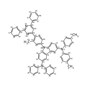 Cc1ccc(N(c2ccc(C)cc2)c2ccc3c(c2)c2cc(N(c4ccccc4)c4ccccc4)ccc2n3-c2ccc(-c3cc(-c4ccccc4)nc(-c4ccccc4)n3)c(C)c2)cc1